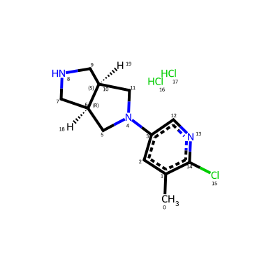 Cc1cc(N2C[C@H]3CNC[C@H]3C2)cnc1Cl.Cl.Cl